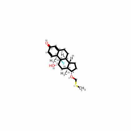 CSCO[C@H]1CC[C@H]2[C@@H]3CCC4=CC(=O)C=C[C@]4(C)[C@@]3(F)[C@@H](O)C[C@]12C